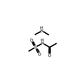 CC(=O)NS(C)(=O)=O.CNC